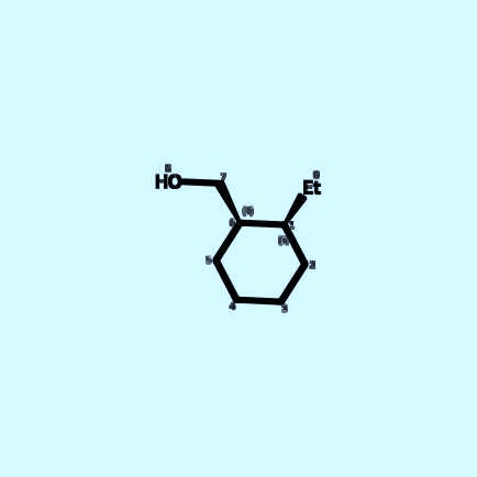 CC[C@H]1CCCC[C@H]1CO